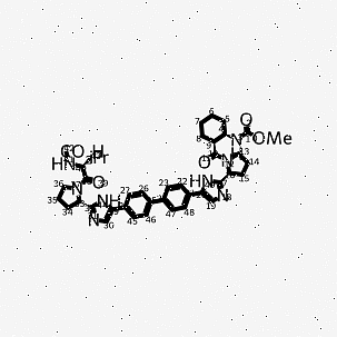 COC(=O)N[C@@H]1CCCC[C@@H]1C(=O)N1CCC[C@H]1c1ncc(-c2ccc(-c3ccc(-c4cnc([C@@H]5CCCN5C(=O)[C@@H](NC(=O)O)C(C)C)[nH]4)cc3)cc2)[nH]1